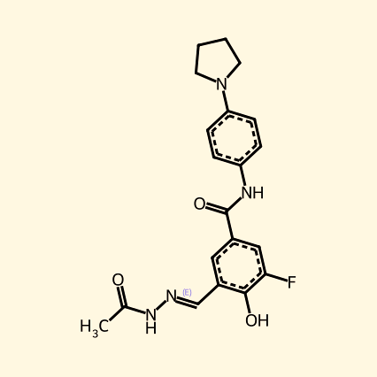 CC(=O)N/N=C/c1cc(C(=O)Nc2ccc(N3CCCC3)cc2)cc(F)c1O